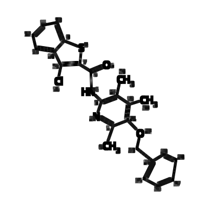 Cc1nc(NC(=O)c2sc3ccccc3c2Cl)c(C)c(C)c1OCc1ccccc1